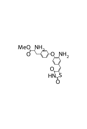 COC(=O)C(N)Cc1ccc(Oc2ccc(C=C3SC(=O)NC3=O)cc2N)cc1